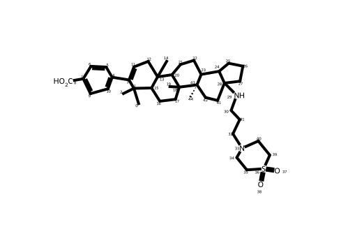 CC1(C)C(c2ccc(C(=O)O)cc2)=CCC2(C)C1CCC1(C)C2CCC2C3CCCC3(NCCCN3CCS(=O)(=O)CC3)CC[C@]21C